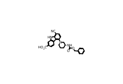 N#Cc1ccc(N2CCC[C@@H](NC(=O)OCc3ccccc3)C2)c2c1[nH]c1cc(C(=O)O)ccc12